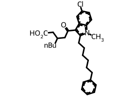 CCCCC(CC(=O)O)CC(=O)c1c(CCCCCCc2ccccc2)n(C)c2ccc(Cl)cc12